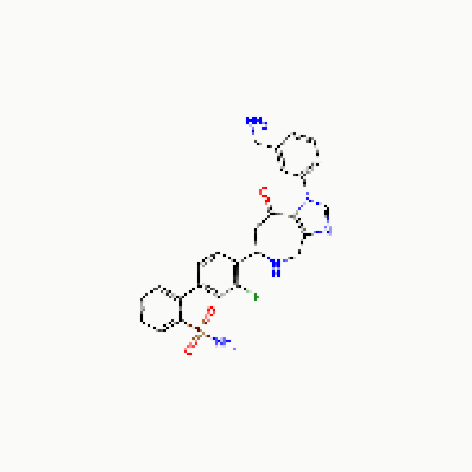 NCc1cccc(-n2cnc3c2C(=O)CC(c2ccc(-c4ccccc4S(N)(=O)=O)cc2F)NC3)c1